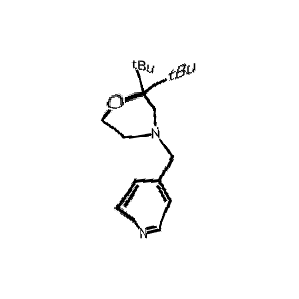 CC(C)(C)C1(C(C)(C)C)CN(Cc2ccncc2)CCO1